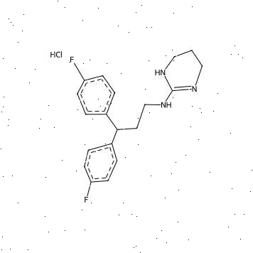 Cl.Fc1ccc(C(CCNC2=NCCCN2)c2ccc(F)cc2)cc1